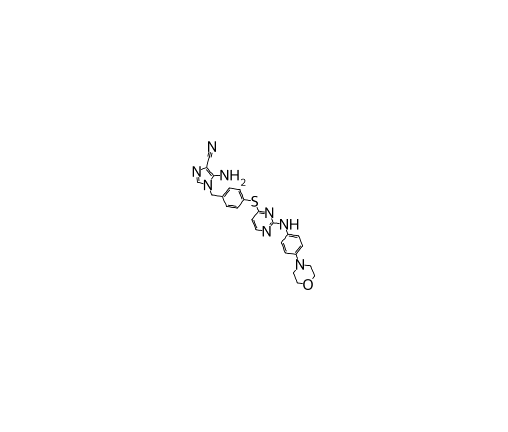 N#Cc1ncn(Cc2ccc(Sc3ccnc(Nc4ccc(N5CCOCC5)cc4)n3)cc2)c1N